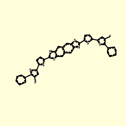 Fc1cc(-c2ccc(-c3nc4cc5cc6sc(-c7ccc(-c8cc(F)c(-c9ccccc9)s8)s7)nc6cc5cc4s3)s2)sc1-c1ccccc1